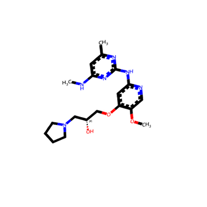 CNc1cc(C)nc(Nc2cc(OC[C@H](O)CN3CCCC3)c(OC)cn2)n1